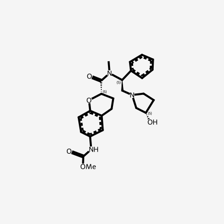 COC(=O)Nc1ccc2c(c1)CC[C@@H](C(=O)N(C)[C@H](CN1CC[C@H](O)C1)c1ccccc1)O2